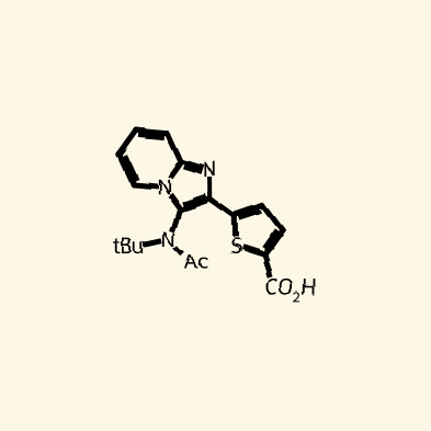 CC(=O)N(c1c(-c2ccc(C(=O)O)s2)nc2ccccn12)C(C)(C)C